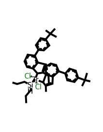 CCC[SiH](CCC)[Zr]([Cl])([Cl])([CH]1C(C)=Cc2c(-c3ccc(C(C)(C)C)cc3)cccc21)[CH]1C(CC)=Cc2c(-c3ccc(C(C)(C)C)cc3)cccc21